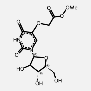 COOC(=O)COc1cn([C@@H]2O[C@H](CO)[C@H](O)C2O)c(=O)[nH]c1=O